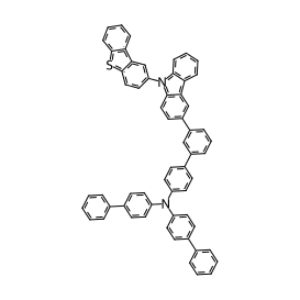 c1ccc(-c2ccc(N(c3ccc(-c4ccccc4)cc3)c3ccc(-c4cccc(-c5ccc6c(c5)c5ccccc5n6-c5ccc6sc7ccccc7c6c5)c4)cc3)cc2)cc1